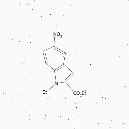 CCOC(=O)c1cc2cc([N+](=O)[O-])ccc2n1CC